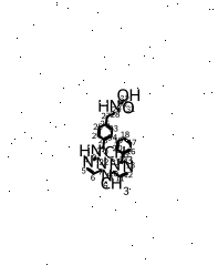 CC(Nc1nccc(N(C)c2ccnc(-c3ccccc3)n2)n1)c1ccc(CCNC(=O)O)cc1